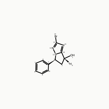 [2H][C@@]1(O)C[C@@H](c2ccccc2)n2nc(Br)nc21